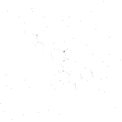 C[C@H](NC(=O)[C@H](CCCCNC(=O)C(F)(F)F)NC(=O)C(F)(F)F)C(Cl)c1ccccc1